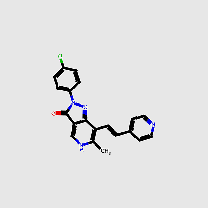 Cc1[nH]cc2c(=O)n(-c3ccc(Cl)cc3)nc-2c1C=Cc1ccncc1